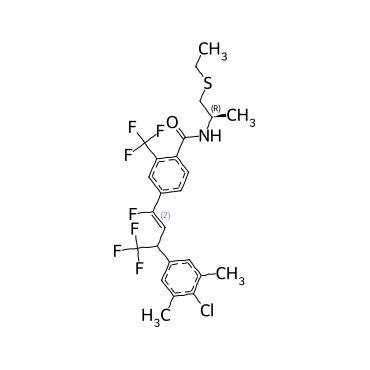 CCSC[C@@H](C)NC(=O)c1ccc(/C(F)=C/C(c2cc(C)c(Cl)c(C)c2)C(F)(F)F)cc1C(F)(F)F